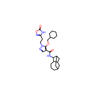 O=C(NC1C2CC3CCCC1C(C3)C2)c1cnn(CCc2noc(=O)[nH]2)c1OCC1CCCCC1